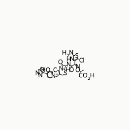 C[C@H](O/N=C(\C(=O)N[C@@H]1C(=O)N2C(C(=O)O)=C(C[n+]3ccc(-c4nnco4)cc3)CS[C@H]12)c1nc(N)sc1Cl)C(=O)O